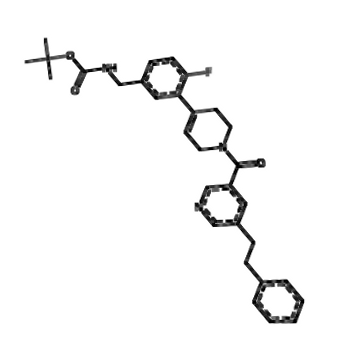 CC(C)(C)OC(=O)NCc1ccc(F)c(C2=CCN(C(=O)c3cncc(CCc4ccccc4)c3)CC2)c1